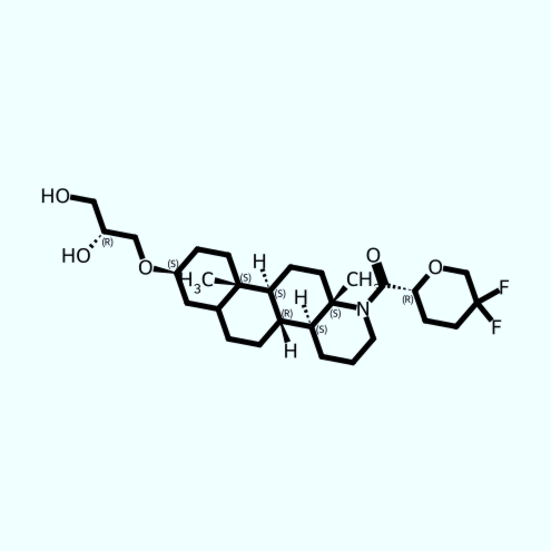 C[C@]12CC[C@H](OC[C@H](O)CO)CC1CC[C@@H]1[C@@H]2CC[C@@]2(C)[C@H]1CCCN2C(=O)[C@H]1CCC(F)(F)CO1